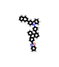 c1ccc(-c2ccccc2-c2ccc(-n3c4ccccc4c4cc(-c5ccc6ccccc6c5)ccc43)cc2)c(-c2ccc(-c3nc4ccccc4o3)cc2)c1